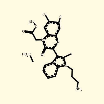 CC(=O)O.Cc1c(-c2nc3cc(Cl)c(Cl)cc3n(CC(=O)OC(C)(C)C)c2=O)c2ccccc2n1CCCN